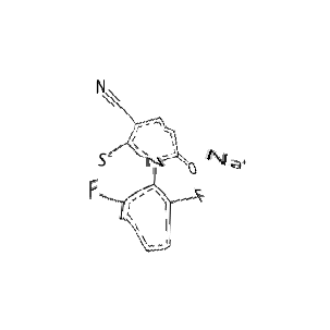 N#Cc1ccc(=O)n(-c2c(F)cccc2F)c1[S-].[Na+]